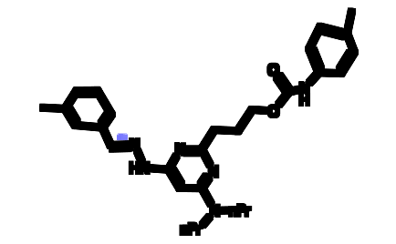 CCCN(CCC)c1cc(N/N=C/c2cccc(C)c2)nc(CCCOC(=O)Nc2ccc(C)cc2)n1